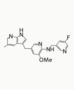 COc1cc(Cc2c[nH]c3ncc(C)cc23)cnc1NCc1cncc(F)c1